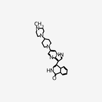 CN1CCN(C2CCN(c3cnc4c(C5=CNC(=O)C6C=CC=CC56)cnn4c3)CC2)CC1